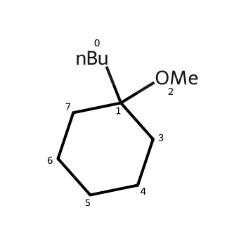 CCCCC1(OC)CCCCC1